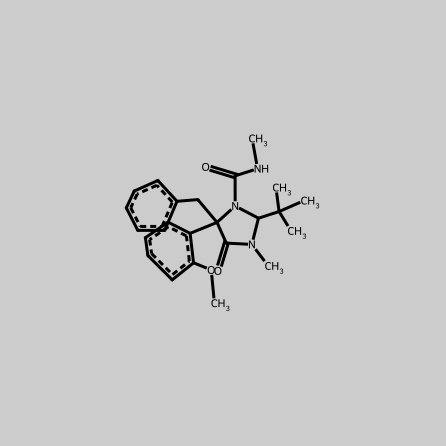 CNC(=O)N1C(C(C)(C)C)N(C)C(=O)C1(Cc1ccccc1)c1ccccc1OC